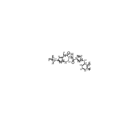 CN1C(=O)[C@H](NC(=O)c2ncn(Cc3cccc(F)c3F)n2)CCn2nc([C@H]3CC3(F)F)cc21